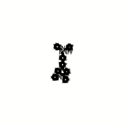 N/C(=N\C(NCc1ccccc1)c1ccc(C2C=CC(N3c4ccccc4C(Nc4ccccc4)=C(C4CCCCC4)c4ccccc43)=CC2)cc1)c1ccccc1